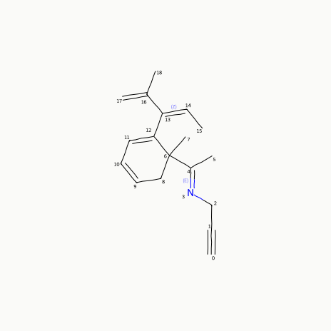 C#CC/N=C(\C)C1(C)CC=CC=C1/C(=C\C)C(=C)C